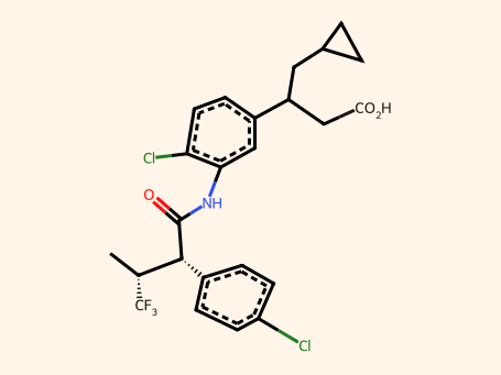 C[C@H]([C@H](C(=O)Nc1cc(C(CC(=O)O)CC2CC2)ccc1Cl)c1ccc(Cl)cc1)C(F)(F)F